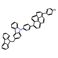 Cc1ccc(-c2ccc3ccc4c(-c5ccc(-n6c7ccccc7c7cc(CC8c9ccccc9-c9ccccc98)ccc76)cc5)ccc5ccc2c3c54)cc1